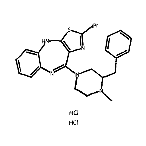 CC(C)c1nc2c(s1)Nc1ccccc1N=C2N1CCN(C)C(Cc2ccccc2)C1.Cl.Cl